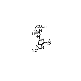 C[C@H]1CCN1c1nc(N2C[C@@H]3[C@@H](CC(=O)O)[C@@H]3C2)cc2nc(C#N)cnc12